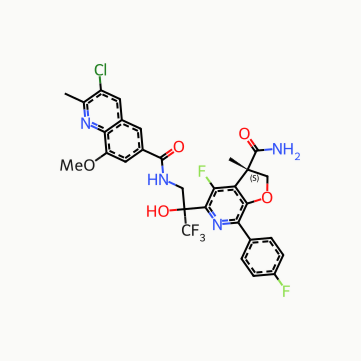 COc1cc(C(=O)NCC(O)(c2nc(-c3ccc(F)cc3)c3c(c2F)[C@](C)(C(N)=O)CO3)C(F)(F)F)cc2cc(Cl)c(C)nc12